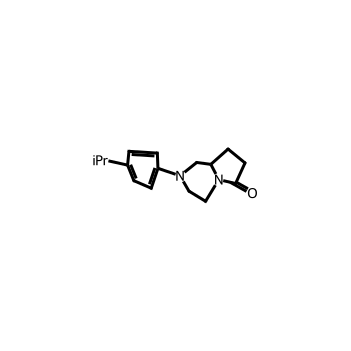 CC(C)c1ccc(N2CCN3C(=O)CCC3C2)cc1